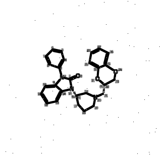 O=c1n(-c2ccccc2)c2ccccc2n1[C@H]1CCCN(C[C@H]2COc3ccccc3O2)C1